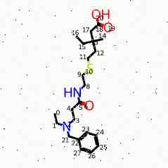 CCN(CCC(=O)NCCSCCC(C)(CC)CC(=O)O)Cc1ccccc1